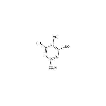 O=Nc1cc(C(=O)O)cc(O)c1O